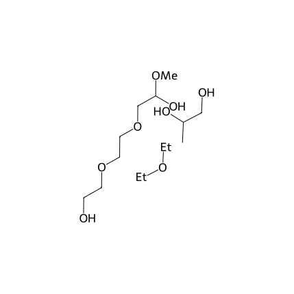 CC(O)CO.CCOCC.COC(O)COCCOCCO